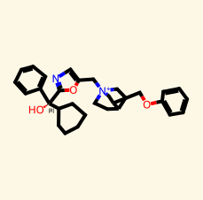 O[C@](c1ccccc1)(c1ncc(C[N+]23CCC(CC2)C(COc2ccccc2)C3)o1)C1CCCCC1